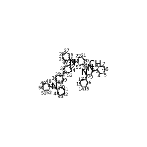 CN1C(c2ccccc2)=CC(c2ccccc2)=NC1c1cccc(-n2c3ccccc3c3cc(-c4ccc5c(c4)c4ccccc4n5-c4ccccc4)ccc32)c1